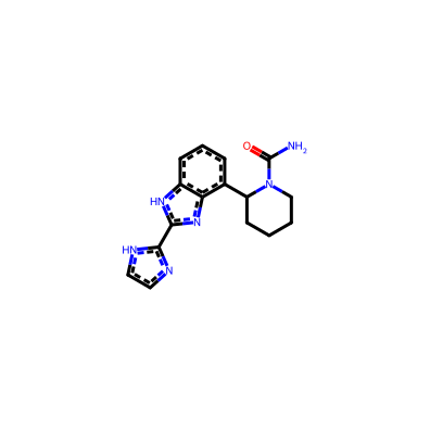 NC(=O)N1CCCCC1c1cccc2[nH]c(-c3ncc[nH]3)nc12